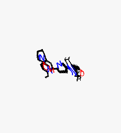 CCc1ccc(N2C3CCC2C(CC(C)c2ccc(N4C[C@@H]5C[C@H]4CO5)cn2)C(O)C3)cn1